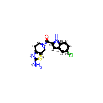 Nc1nc2c(s1)CN(C(=O)c1cc3cc(Cl)ccc3[nH]1)CC2